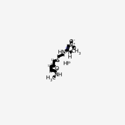 CN/C(=C\[N+](=O)[O-])NCCSCc1ccc(NC)o1.I